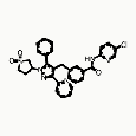 O=C(Nc1ccc(Cl)cn1)c1cccc(Cc2c(-c3ccccn3)nn(C3CCS(=O)(=O)C3)c2-c2ccccc2)c1